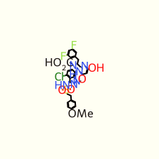 COc1ccc(CCS(=O)(=O)Nc2nn(C)c3c(-n4c(C(Cc5cc(F)cc(F)c5)NC(=O)O)nc(O)cc4=O)ccc(Cl)c23)cc1